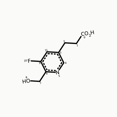 O=C(O)CCc1cnc(CO)c(F)c1